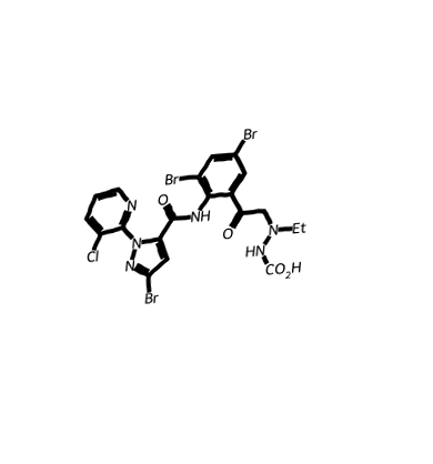 CCN(CC(=O)c1cc(Br)cc(Br)c1NC(=O)c1cc(Br)nn1-c1ncccc1Cl)NC(=O)O